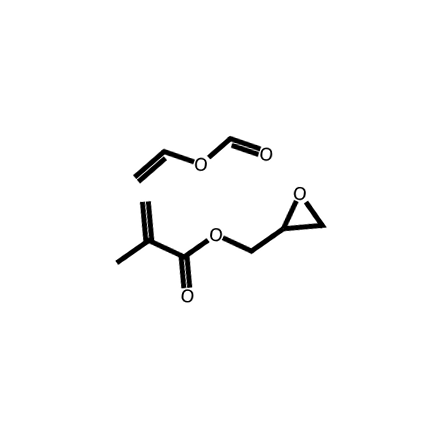 C=C(C)C(=O)OCC1CO1.C=COC=O